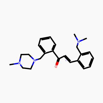 CN(C)Cc1ccccc1/C=C/C(=O)c1ccccc1CN1CCN(C)CC1